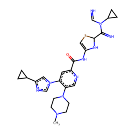 CN1CCN(c2cnc(C(=O)NC3=CSC(C(=N)N(C=N)C4CC4)N3)cc2-n2cnc(C3CC3)c2)CC1